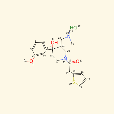 COc1cccc(C2(O)CCN(C(=O)Cc3cccs3)CC2CN(C)C)c1.Cl